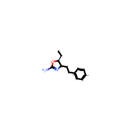 CC[C@@H]1OC(N)=NC1CCc1ccccc1